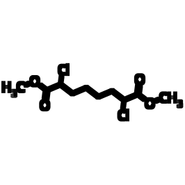 COC(=O)C(Cl)CCCCC(Cl)C(=O)OC